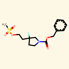 CS(=O)(=O)OCCC1(F)CCN(C(=O)OCc2ccccc2)C1